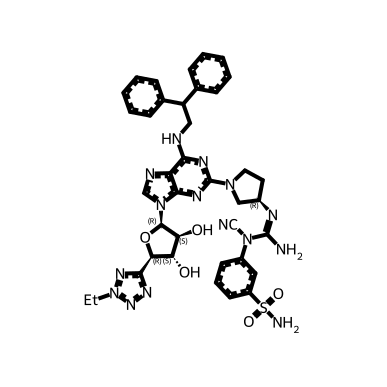 CCn1nnc([C@H]2O[C@@H](n3cnc4c(NCC(c5ccccc5)c5ccccc5)nc(N5CC[C@@H](N=C(N)N(C#N)c6cccc(S(N)(=O)=O)c6)C5)nc43)[C@@H](O)[C@@H]2O)n1